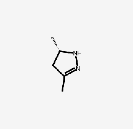 CC1=NN[C@@H](C)C1